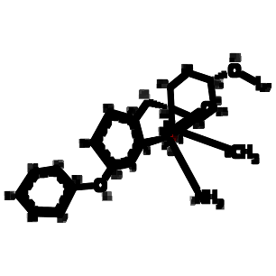 CN1C(=O)[C@]2(N=C1N)c1cc(Oc3ccccc3)ccc1C[C@]21CC[C@@H](OI)CC1